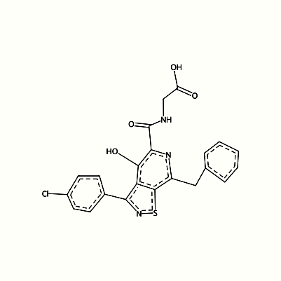 O=C(O)CNC(=O)c1nc(Cc2ccccc2)c2snc(-c3ccc(Cl)cc3)c2c1O